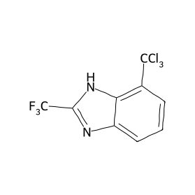 FC(F)(F)c1nc2cccc(C(Cl)(Cl)Cl)c2[nH]1